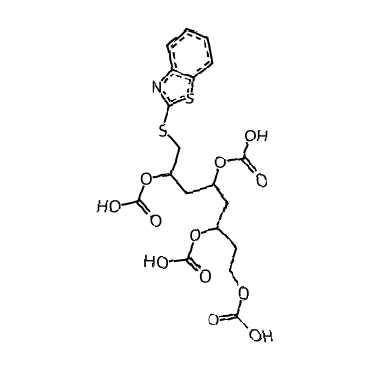 O=C(O)OCCC(CC(CC(CSc1nc2ccccc2s1)OC(=O)O)OC(=O)O)OC(=O)O